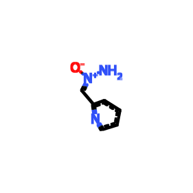 N/[N+]([O-])=C\c1ccccn1